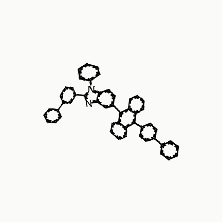 c1ccc(-c2ccc(-c3c4ccccc4c(-c4ccc5c(c4)nc(-c4cccc(-c6ccccc6)c4)n5-c4ccccc4)c4ccccc34)cc2)cc1